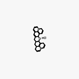 C1=CN2CC=CC3=C2C(=C1)C=C1CC2CC4CC=CN5C=CCC(=C45)C2OC13.Cl